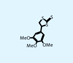 COc1cc(C2CSC(=S)S2)cc(OC)c1OC